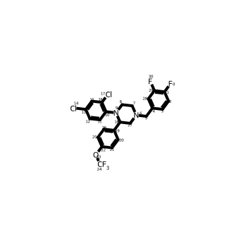 Fc1ccc(CN2CCN(c3ccc(Cl)cc3Cl)C(c3ccc(OC(F)(F)F)cc3)C2)cc1F